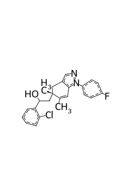 CC1=Cc2c(cnn2-c2ccc(F)cc2)C[C@@]1(C)CC(O)c1ccccc1Cl